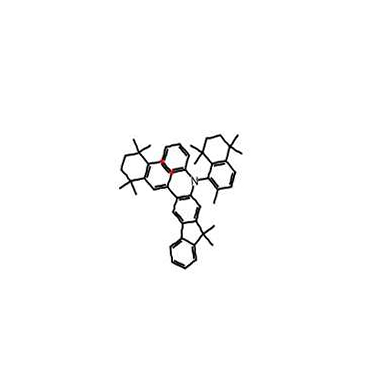 Cc1ccc2c(c1N(c1ccccc1)c1cc3c(cc1-c1ccc4c(c1)C(C)(C)CCC4(C)C)-c1ccccc1C3(C)C)C(C)(C)CCC2(C)C